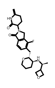 C=C1CCC(N2Cc3c(ccc(C[C@H]4OCCC[C@@H]4N[C@@H](C)C4COC4)c3F)C2=O)C(=O)N1